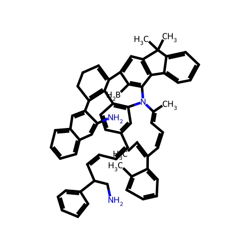 Bc1c2cc3c(c1N(/C(C)=C/C=C\C(=C\C)c1ccccc1C)c1cc(/C=C\C=C/C(CN)c4ccccc4)ccc1C1=C(c4cc5ccccc5cc4N)CCC=C12)-c1ccccc1C3(C)C